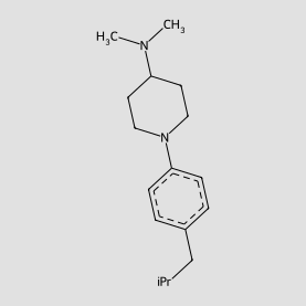 CC(C)Cc1ccc(N2CCC(N(C)C)CC2)cc1